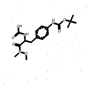 CON(C)C(=O)C(Cc1ccc(NC(=O)OC(C)(C)C)cc1)NC(=O)O